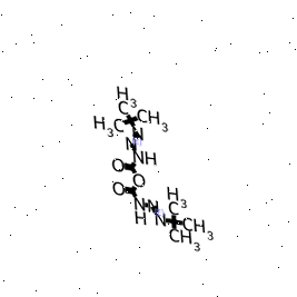 CC(C)(C)/N=N/NC(=O)OC(=O)N/N=N/C(C)(C)C